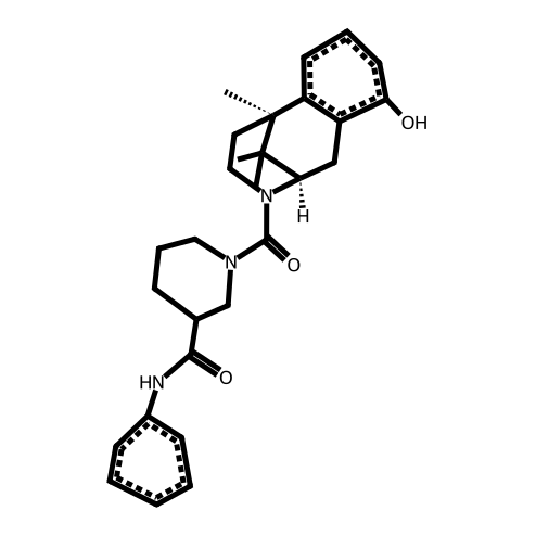 CC1(C)[C@H]2Cc3c(O)cccc3[C@]1(C)CCN2C(=O)N1CCCC(C(=O)Nc2ccccc2)C1